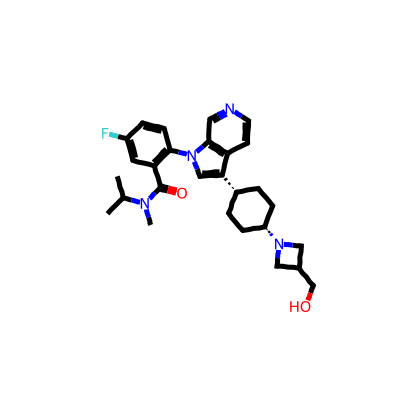 CC(C)N(C)C(=O)c1cc(F)ccc1-n1cc([C@H]2CC[C@@H](N3CC(CO)C3)CC2)c2ccncc21